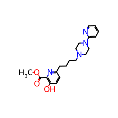 COC(=O)c1nc(CCCCN2CCN(c3ccccn3)CC2)ccc1O